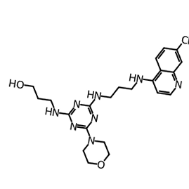 OCCCNc1nc(NCCCNc2ccnc3cc(Cl)ccc23)nc(N2CCOCC2)n1